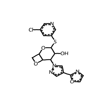 OC1C(Sc2cncc(Cl)c2)OC2COC2C1n1cc(-c2ncco2)cn1